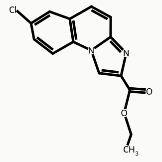 CCOC(=O)c1cn2c(ccc3cc(Cl)ccc32)n1